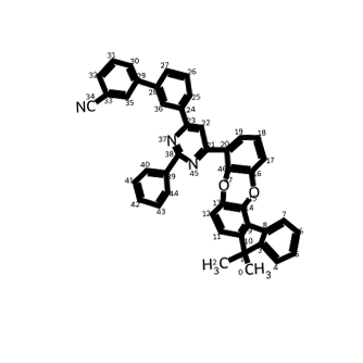 CC1(C)c2ccccc2-c2c1ccc1c2Oc2cccc(-c3cc(-c4cccc(-c5cccc(C#N)c5)c4)nc(-c4ccccc4)n3)c2O1